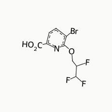 O=C(O)c1ccc(Br)c(OCC(F)C(F)F)n1